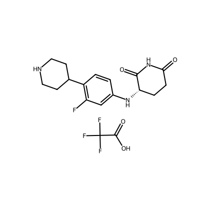 O=C(O)C(F)(F)F.O=C1CC[C@H](Nc2ccc(C3CCNCC3)c(F)c2)C(=O)N1